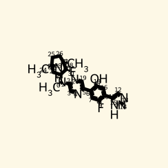 CN(c1cnc(-c2cc(F)c(-c3cnn[nH]3)cc2O)cn1)[C@H]1C[C@]2(C)CC[C@@](C)(N2)[C@H]1F